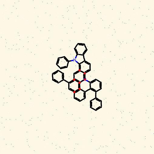 c1ccc(-c2cccc(N(c3ccc4c5ccccc5n(-c5ccccc5)c4c3)c3cccc(-c4ccccc4)c3-c3ccccc3-c3ccccc3)c2)cc1